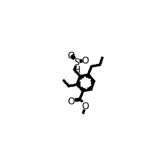 CCCc1ccc(C(=O)OC)c(CC)c1C[SH](=O)=O